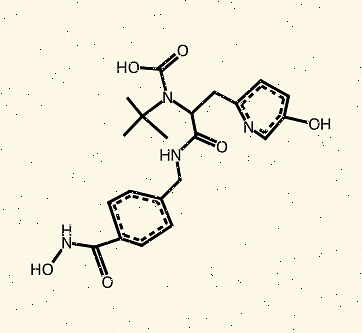 CC(C)(C)N(C(=O)O)C(Cc1ccc(O)cn1)C(=O)NCc1ccc(C(=O)NO)cc1